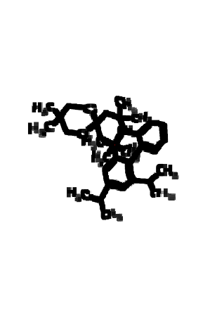 CC(C)c1cc(C(C)C)c(-c2ccccc2P2C(C)(C)CC3(CC2(C)C)OCC(C)(C)CO3)c(C(C)C)c1